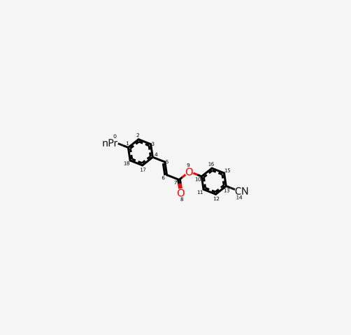 CCCc1ccc(C=CC(=O)Oc2ccc(C#N)cc2)cc1